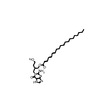 CCCCCCCCCCCCCCCCCCCC(=O)OCC(CCO)Cn1c(N)nc2nc[nH]c2c1=O